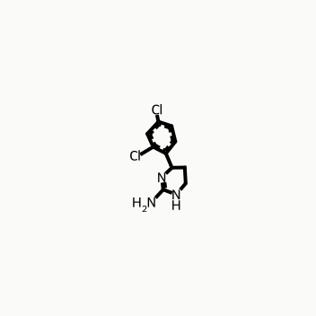 NC1=NC(c2ccc(Cl)cc2Cl)CCN1